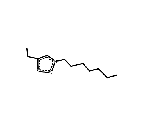 CCCCCCCn1cc(CC)nn1